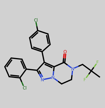 CC(F)(F)CN1CCn2nc(-c3ccccc3Cl)c(-c3ccc(Cl)cc3)c2C1=O